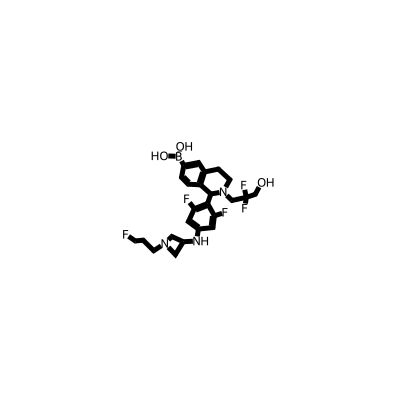 OCC(F)(F)CN1CCc2cc(B(O)O)ccc2C1c1c(F)cc(NC2CN(CCCF)C2)cc1F